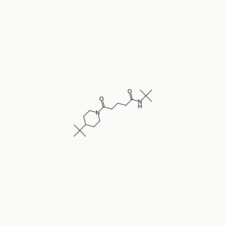 CC(C)(C)NC(=O)CCCC(=O)N1CCC(C(C)(C)C)CC1